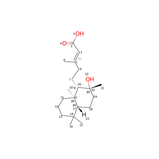 C/C(=C\C(=O)O)CC[C@H]1[C@]2(C)CCCC(C)(C)[C@H]2CC[C@@]1(C)O